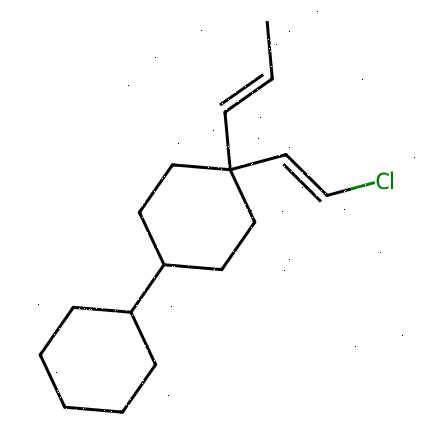 C/C=C/C1(/C=C/Cl)CCC(C2CCCCC2)CC1